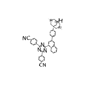 C[C@@H]1C[C@@H]2C[C@H](C)CC(c3ccc(-c4cc(-c5nc(-c6ccc(C#N)cc6)nc(-c6ccc(C#N)cc6)n5)c5ccccc5c4)cc3)(C1)C2